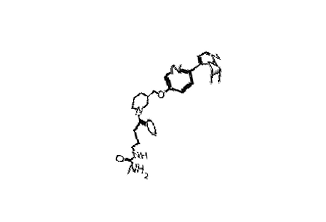 NC(=O)NCCCC(=O)N1CCC[C@@H](COc2ccc(-c3ccn[nH]3)nc2)C1